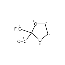 O=CC1(C(F)(F)F)OCCO1